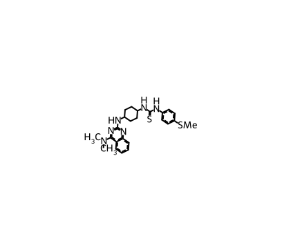 CSc1ccc(NC(=S)NC2CCC(Nc3nc(N(C)C)c4ccccc4n3)CC2)cc1